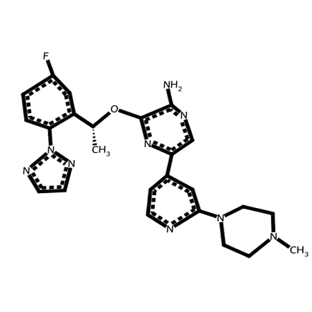 C[C@@H](Oc1nc(-c2ccnc(N3CCN(C)CC3)c2)cnc1N)c1cc(F)ccc1-n1nccn1